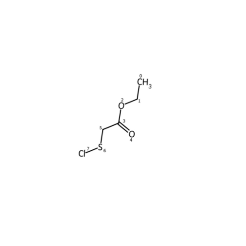 CCOC(=O)CSCl